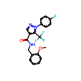 COc1ccccc1CNC(=O)c1cnn(-c2ccc(F)cc2)c1C(F)(F)F